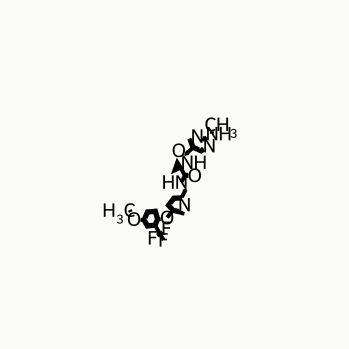 CNc1ncc(C(=O)NC2(C(=O)NCc3ccc(Oc4ccc(OC)cc4C(F)(F)F)cn3)CC2)cn1